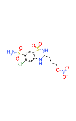 NS(=O)(=O)c1cc2c(cc1Cl)NC(CCCO[N+](=O)[O-])NS2(=O)=O